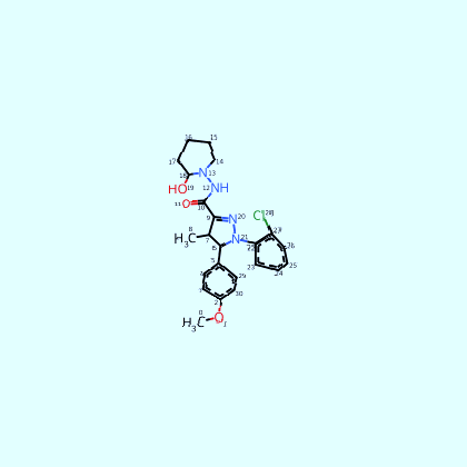 COc1ccc(C2C(C)C(C(=O)NN3CCCCC3O)=NN2c2ccccc2Cl)cc1